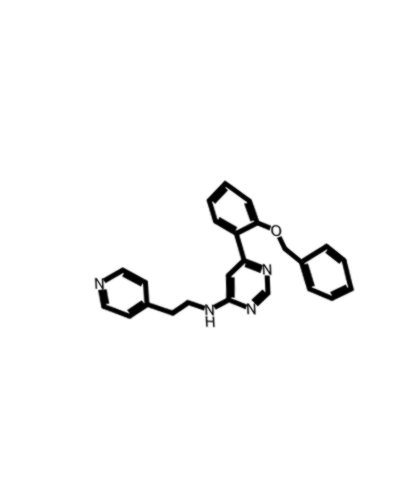 c1ccc(COc2ccccc2-c2cc(NCCc3ccncc3)ncn2)cc1